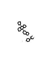 CC(C)c1ccc2c3ccncc3n(-c3ccc4cc(-c5c6ccccc6c(-c6ccccc6)c6ccccc56)ccc4c3)c2c1